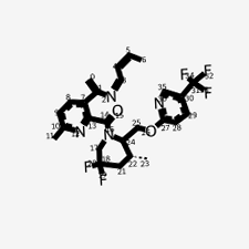 C=C(/N=C\C=C/C)c1ccc(C)nc1C(=O)N1CC(F)(F)C[C@@H](C)C1COc1ccc(C(F)(F)F)cn1